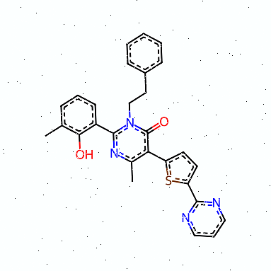 Cc1cccc(-c2nc(C)c(-c3ccc(-c4ncccn4)s3)c(=O)n2CCc2ccccc2)c1O